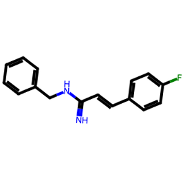 N=C(/C=C/c1ccc(F)cc1)NCc1ccccc1